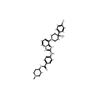 CN1CCC(OC(=O)c2ccc(Nc3nc4c(N5CCC(O)(c6ccc(Cl)cc6)CC5)cccn4n3)cc2)CC1